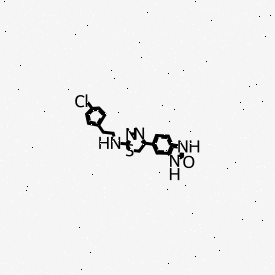 O=c1[nH]c2ccc(C3=NN=C(NCCc4ccc(Cl)cc4)SC3)cc2[nH]1